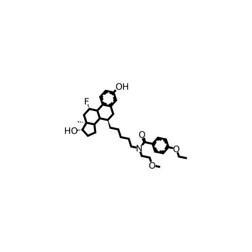 CCOc1ccc(C(=O)N(CCCCC[C@@H]2Cc3cc(O)ccc3C3C2C2CC[C@H](O)[C@@]2(C)C[C@@H]3F)CCOC)cc1